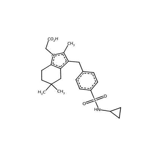 Cc1c(Cc2ccc(S(=O)(=O)NC3CC3)cc2)c2c(n1CC(=O)O)CCC(C)(C)C2